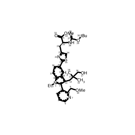 CCn1c(-c2cccnc2COC)c(CC(C)(C)CO)c2cc(-c3nc(C[C@H](NC(=O)OC(C)(C)C)C(=O)OC)cs3)ccc21